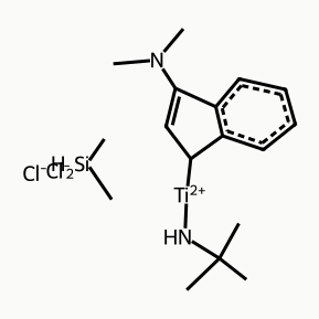 CN(C)C1=C[CH]([Ti+2][NH]C(C)(C)C)c2ccccc21.C[SiH2]C.[Cl-].[Cl-]